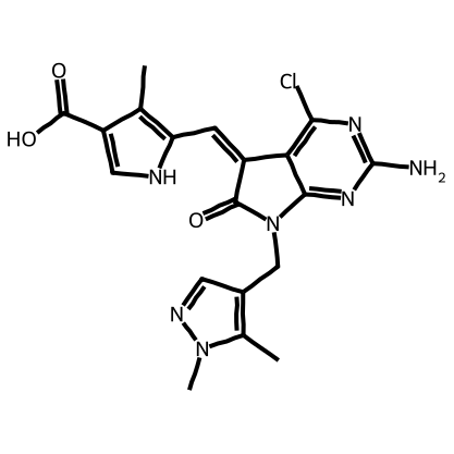 Cc1c(C(=O)O)c[nH]c1/C=C1\C(=O)N(Cc2cnn(C)c2C)c2nc(N)nc(Cl)c21